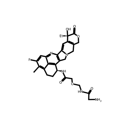 CC[C@@]1(O)C(=O)OCC2=C1C=C1c3nc4cc(F)c(C)c5c4c(c3CN1C2)[C@@H](NC(=O)COCNC(=O)CN)CC5